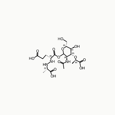 CC(=O)N[C@H]1C(OC(=O)[C@@H](CCC(=O)O)NN[C@@H](C)C(=O)O)O[C@H](CO)[C@@H](O)[C@@H]1O[C@H](C)C(=O)O